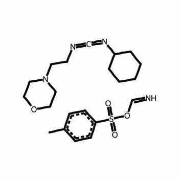 C(=NCCN1CCOCC1)=NC1CCCCC1.Cc1ccc(S(=O)(=O)OC=N)cc1